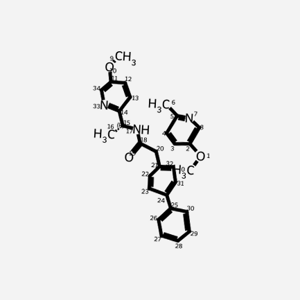 COc1ccc(C)nc1.COc1ccc([C@@H](C)NC(=O)Cc2ccc(-c3ccccc3)cc2)nc1